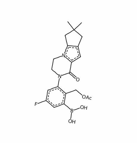 CC(=O)OCc1c(B(O)O)cc(F)cc1N1CCn2c(cc3c2CC(C)(C)C3)C1=O